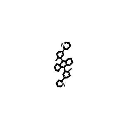 Cc1ccc(-c2ccccn2)cc1-c1c2ccccc2c(-c2cc(-c3ccccn3)ccc2C)c2ccccc12